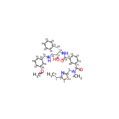 CCc1csc(CN(C)C(=O)c2cccc(C(=O)N[C@@H](Cc3ccccc3)[C@H](O)CNCc3cccc(OC)c3)c2)n1